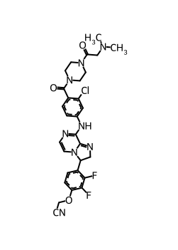 CN(C)CC(=O)N1CCN(C(=O)c2ccc(NC3=NC=CN4C3=NCC4c3ccc(OCC#N)c(F)c3F)cc2Cl)CC1